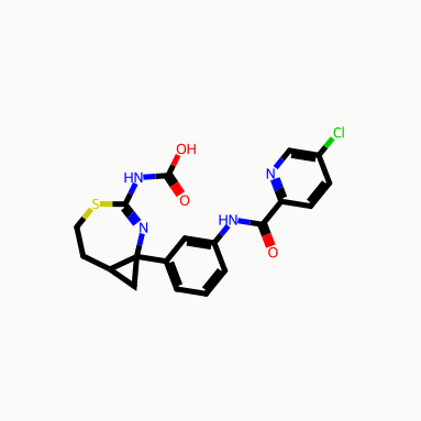 O=C(O)NC1=NC2(c3cccc(NC(=O)c4ccc(Cl)cn4)c3)CC2CCS1